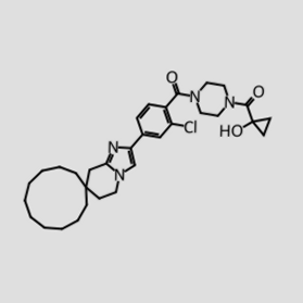 O=C(c1ccc(-c2cn3c(n2)CC2(CCCCCCCCCC2)CC3)cc1Cl)N1CCN(C(=O)C2(O)CC2)CC1